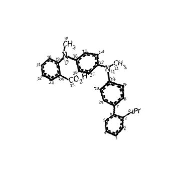 CC(C)c1ccccc1-c1ccc(N(C)c2ccc(N(C)c3ccccc3C(=O)O)cc2)cc1